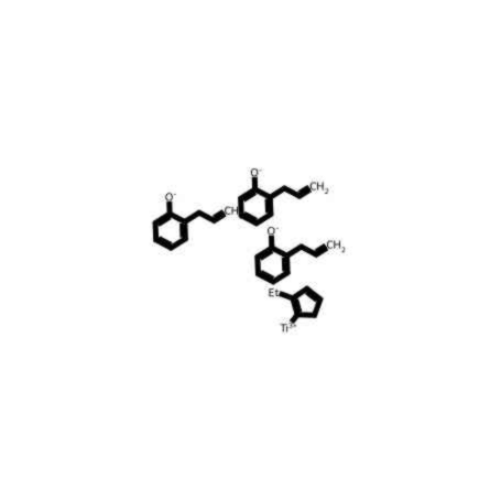 C=CCc1ccccc1[O-].C=CCc1ccccc1[O-].C=CCc1ccccc1[O-].CCC1=[C]([Ti+3])CC=C1